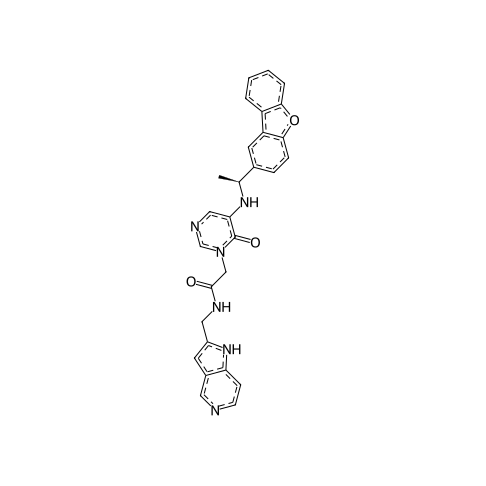 C[C@H](Nc1cncn(CC(=O)NCc2cc3cnccc3[nH]2)c1=O)c1ccc2oc3ccccc3c2c1